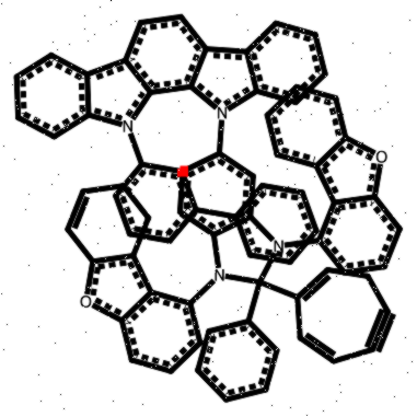 C1#CCC=C(C2(c3ccccc3)N(c3cccc4oc5c(c34)CCC=C5)c3ccc(-n4c5ccccc5c5ccc6c7ccccc7n(-c7cccc(-c8ccccc8)c7)c6c54)cc3N2c2cccc3oc4ccccc4c23)C=C1